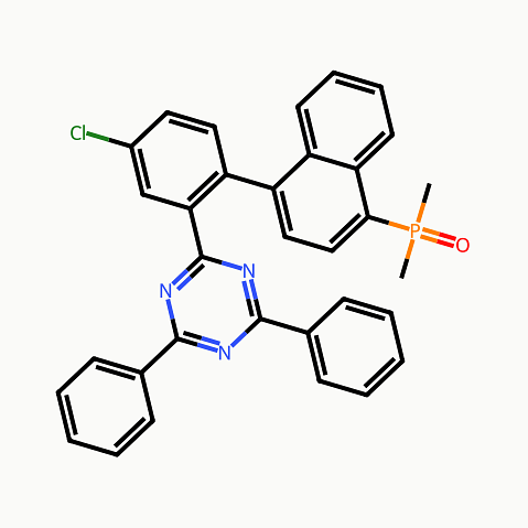 CP(C)(=O)c1ccc(-c2ccc(Cl)cc2-c2nc(-c3ccccc3)nc(-c3ccccc3)n2)c2ccccc12